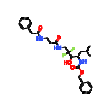 CC(C)CC(NC(=O)OCc1ccccc1)C(O)C(F)(F)CNC(=O)CCNC(=O)Cc1ccccc1